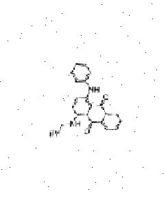 CC(C)CNc1ccc(Nc2ccccc2)c2c1C(=O)c1ccccc1C2=O